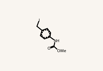 COC(=O)Nc1ccc(CI)cc1